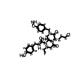 NOc1ccc(CN2C[C@H]3N(C(=O)CN(CF)N3C(=O)NCc3ccc(O)cc3)[C@@H](CCCCl)C2=O)cc1